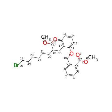 COC(=O)c1ccccc1COc1ccccc1CC(CCCCCCBr)C(=O)OC